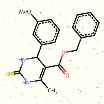 COc1cccc(C2NC(=S)NC(C)=C2C(=O)OCc2ccccc2)c1